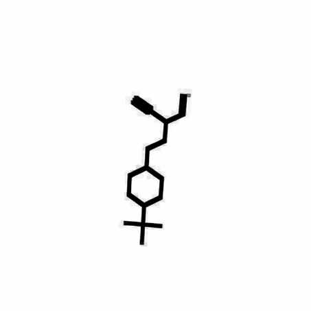 [CH]=CC(C#C)CCC1CCC(C(C)(C)C)CC1